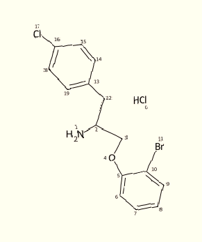 Cl.NC(COc1ccccc1Br)Cc1ccc(Cl)cc1